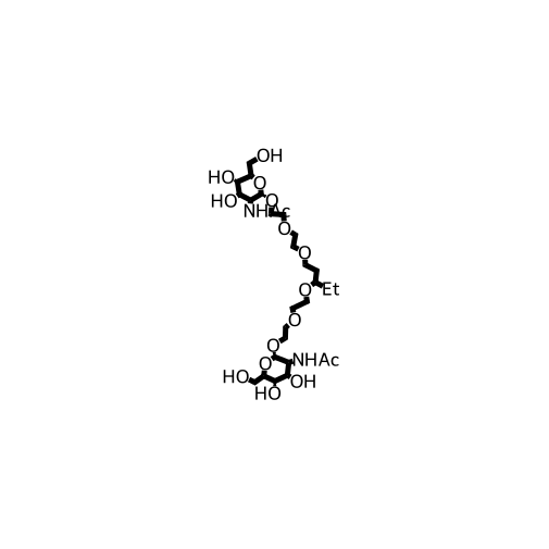 CCC(CCOCCOCCO[C@@H]1OC(CO)[C@H](O)C(O)C1NC(C)=O)OCCOCCO[C@@H]1OC(CO)[C@H](O)C(O)C1NC(C)=O